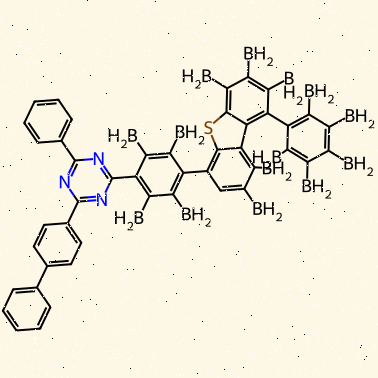 Bc1cc(-c2c(B)c(B)c(-c3nc(-c4ccccc4)nc(-c4ccc(-c5ccccc5)cc4)n3)c(B)c2B)c2sc3c(B)c(B)c(B)c(-c4c(B)c(B)c(B)c(B)c4B)c3c2c1B